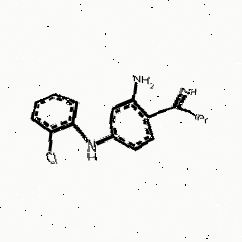 CC(C)C(=N)c1ccc(Nc2ccccc2Cl)cc1N